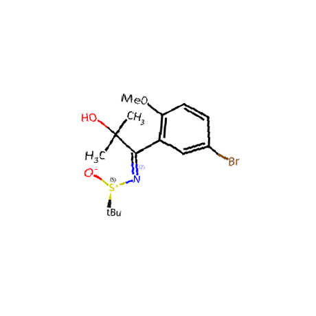 COc1ccc(Br)cc1/C(=N/[S@+]([O-])C(C)(C)C)C(C)(C)O